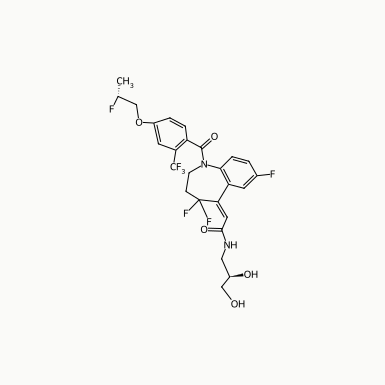 C[C@@H](F)COc1ccc(C(=O)N2CCC(F)(F)C(=CC(=O)NC[C@@H](O)CO)c3cc(F)ccc32)c(C(F)(F)F)c1